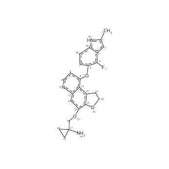 Cc1cc2c(F)c(Oc3ccnc4cc(OCC5(N)CC5)c5c(c34)CCO5)ccc2[nH]1